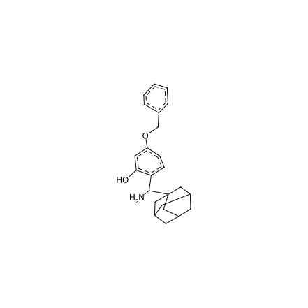 NC(c1ccc(OCc2ccccc2)cc1O)C12CC3CC(CC(C3)C1)C2